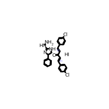 I.NNC1=NC(c2ccccc2)CN1.O=C(/C=C/c1ccc(Cl)cc1)/C=C/c1ccc(Cl)cc1